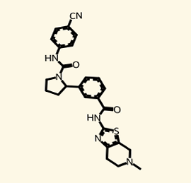 CN1CCc2nc(NC(=O)c3cccc(C4CCCN4C(=O)Nc4ccc(C#N)cc4)c3)sc2C1